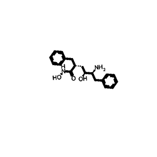 N[C@@H](Cc1ccccc1)[C@@H](O)C[C@@H](Cc1ccccc1)C(=O)NO